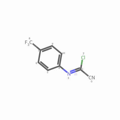 N#C/C(Cl)=N/c1ccc(C(F)(F)F)cc1